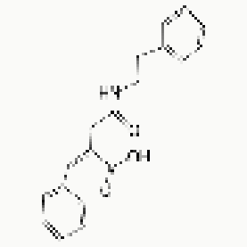 O=C(CC(=Cc1ccccc1)C(=O)O)NCCc1ccccc1